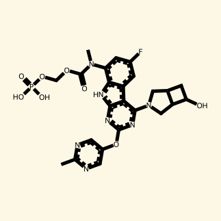 Cc1ncc(Oc2nc(N3CC4CC(O)C4C3)c3c(n2)[nH]c2c(N(C)C(=O)OCOP(=O)(O)O)cc(F)cc23)cn1